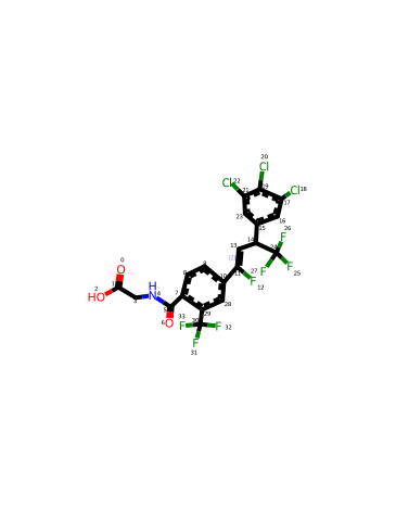 O=C(O)CNC(=O)c1ccc(/C(F)=C/C(c2cc(Cl)c(Cl)c(Cl)c2)C(F)(F)F)cc1C(F)(F)F